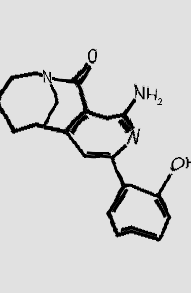 Nc1nc(-c2ccccc2O)cc2c1C(=O)N1CCCC2C1